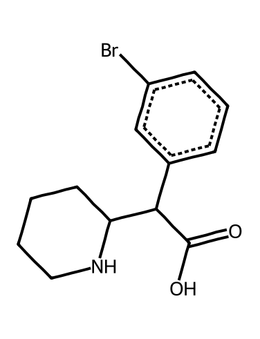 O=C(O)C(c1cccc(Br)c1)C1CCCCN1